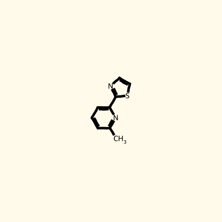 Cc1cccc(-c2nccs2)n1